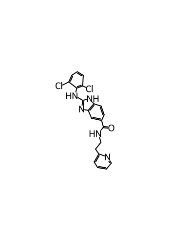 O=C(NCCc1ccccn1)c1ccc2[nH]c(Nc3c(Cl)cccc3Cl)nc2c1